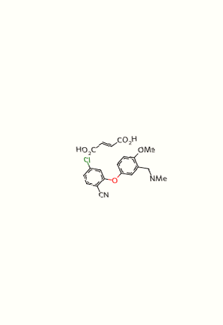 CNCc1cc(Oc2cc(Cl)ccc2C#N)ccc1OC.O=C(O)C=CC(=O)O